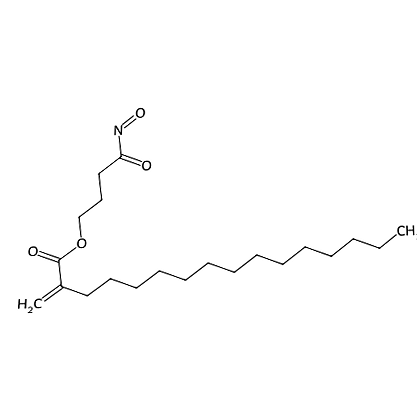 C=C(CCCCCCCCCCCCCC)C(=O)OCCCC(=O)N=O